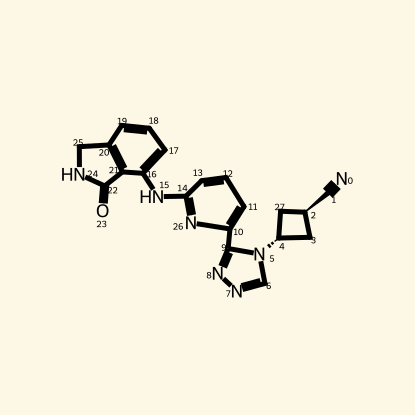 N#C[C@H]1C[C@H](n2cnnc2-c2cccc(Nc3cccc4c3C(=O)NC4)n2)C1